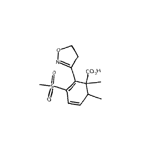 CC1C=CC(S(C)(=O)=O)=C(C2=NOCC2)C1(C)C(=O)O